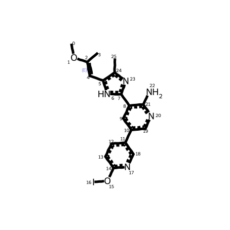 CO/C(C)=C/c1[nH]c(-c2cc(-c3ccc(OI)nc3)cnc2N)nc1C